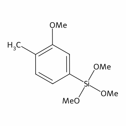 COc1cc([Si](OC)(OC)OC)ccc1C